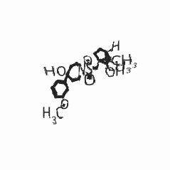 COc1cccc(C2(O)CCN(S(=O)(=O)C[C@]34CC[C@H](CC3O)C4(C)C)CC2)c1